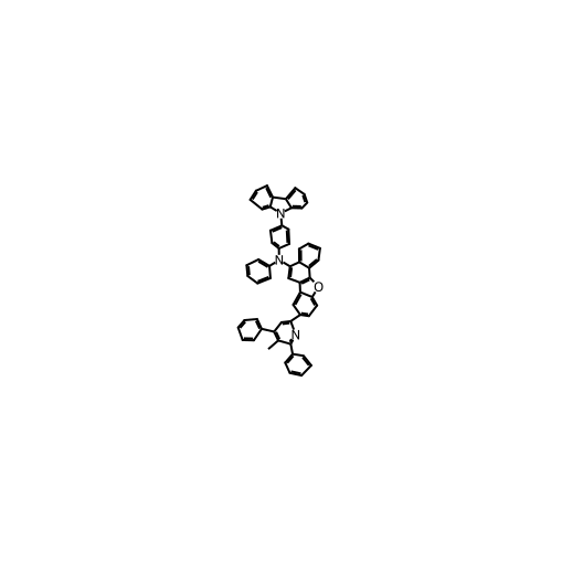 Cc1c(-c2ccccc2)cc(-c2ccc3oc4c5ccccc5c(N(c5ccccc5)c5ccc(-n6c7ccccc7c7ccccc76)cc5)cc4c3c2)nc1-c1ccccc1